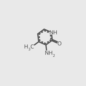 Cc1cc[nH]c(=O)c1N